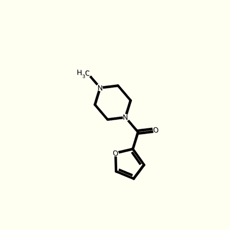 CN1CCN(C(=O)c2ccco2)CC1